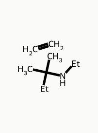 C=C.CCNC(C)(C)CC